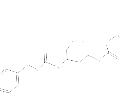 CC(C)(C)OC(=O)NCCC(CC(=O)O)NC(=O)OCc1ccccc1